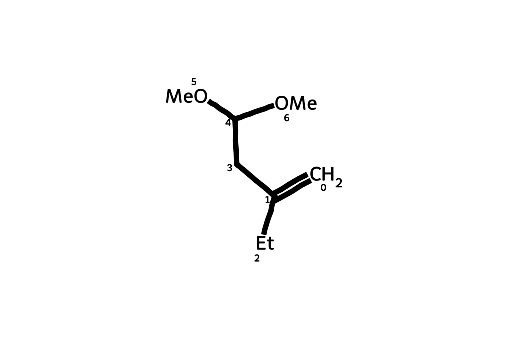 C=C(CC)CC(OC)OC